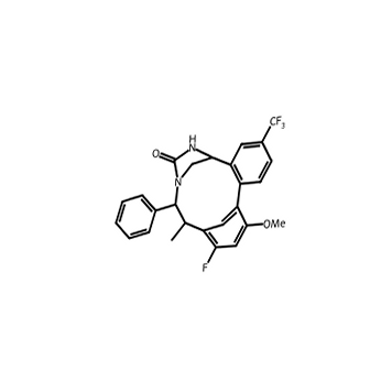 COc1cc(F)c2cc1-c1ccc(C(F)(F)F)cc1C1CN(C(=O)N1)C(c1ccccc1)C2C